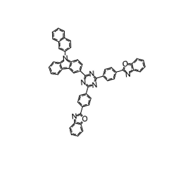 c1ccc2cc(-n3c4ccccc4c4cc(-c5nc(-c6ccc(-c7nc8ccccc8o7)cc6)nc(-c6ccc(-c7nc8ccccc8o7)cc6)n5)ccc43)ccc2c1